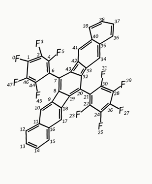 Fc1c(F)c(F)c(-c2c3c4cc5ccccc5cc4c3c(-c3c(F)c(F)c(F)c(F)c3F)c3c4cc5ccccc5cc4c23)c(F)c1F